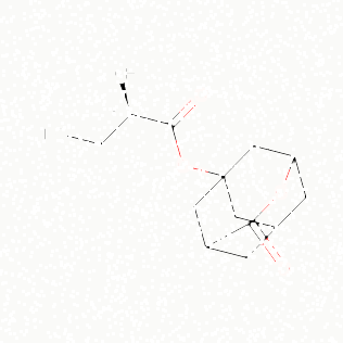 CC[C@@H](C)C(=O)OC12CC3CC(C1)OC(=O)C(C3)C2